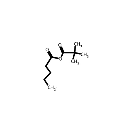 [CH2]CCCC(=O)OC(=O)C(C)(C)C